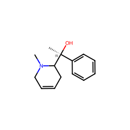 CN1CC=CCC1[C@@](C)(O)c1ccccc1